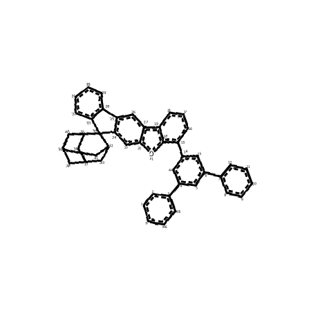 c1ccc(-c2cc(-c3ccccc3)cc(-c3cccc4c3oc3cc5c(cc34)-c3ccccc3C53C4CC5CC(C4)CC3C5)c2)cc1